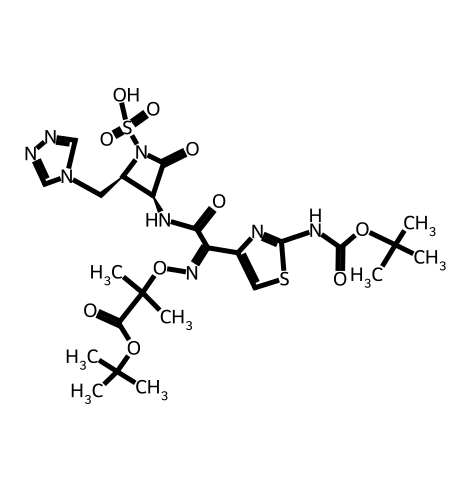 CC(C)(C)OC(=O)Nc1nc(/C(=N/OC(C)(C)C(=O)OC(C)(C)C)C(=O)N[C@@H]2C(=O)N(S(=O)(=O)O)[C@@H]2Cn2cnnc2)cs1